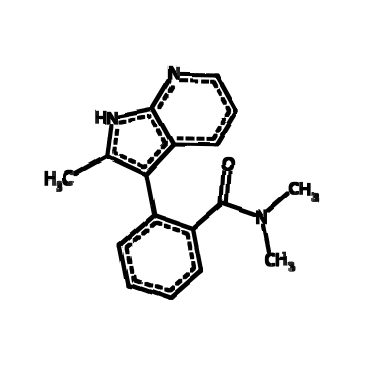 Cc1[nH]c2ncccc2c1-c1ccccc1C(=O)N(C)C